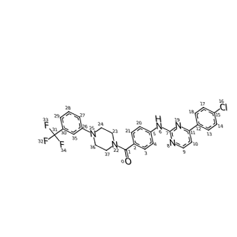 O=C(c1ccc(Nc2nccc(-c3ccc(Cl)cc3)n2)cc1)N1CCN(c2cccc(C(F)(F)F)c2)CC1